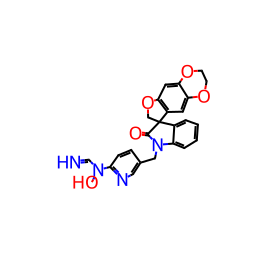 N=CN(O)c1ccc(CN2C(=O)C3(COc4cc5c(cc43)OCCO5)c3ccccc32)cn1